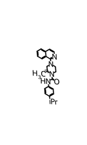 CC(C)c1ccc(NC(=O)N2CCN(c3nccc4ccccc34)C[C@H]2C)cc1